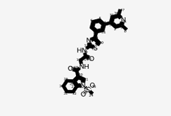 Cc1cc(-c2cccc(-c3csc(NC(=O)CNC(=O)c4cn(S(C)(=O)=O)c5c4CCCC5)n3)c2)cc(C)n1